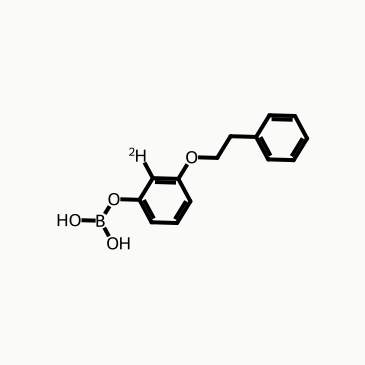 [2H]c1c(OCCc2ccccc2)cccc1OB(O)O